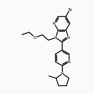 CCOCCn1c(-c2ccc(N3CCCC3C)nc2)nc2cc(Br)cnc21